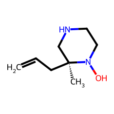 C=CC[C@@]1(C)CNCCN1O